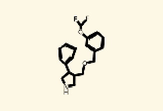 FC(F)Oc1cccc(COCC2CNCC2c2ccccc2)c1